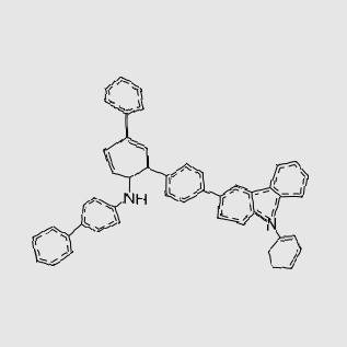 C1=CCCC(n2c3ccccc3c3cc(-c4ccc(C5C=C(c6ccccc6)C=CC5Nc5ccc(-c6ccccc6)cc5)cc4)ccc32)=C1